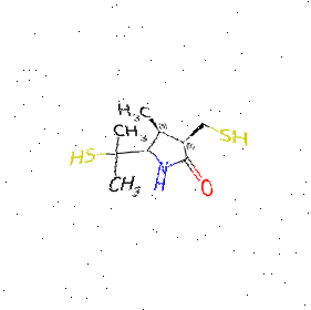 C[C@@H]1C(C(C)(C)S)NC(=O)[C@@H]1CS